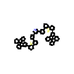 c1cc(-c2cncc(-c3cccc(-c4cccc5c4sc4c(-c6ccc7c(c6)-c6ccccc6C76c7ccccc7-c7ccccc76)cccc45)c3)c2)cc(-c2cccc3c2sc2c(-c4ccc5c(c4)-c4ccccc4C54c5ccccc5-c5ccccc54)cccc23)c1